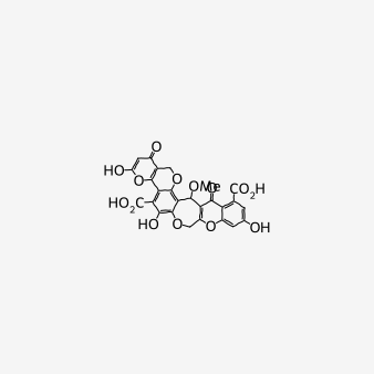 COC1c2c(c(O)c(C(=O)O)c3c2OCc2c-3oc(O)cc2=O)OCc2oc3cc(O)cc(C(=O)O)c3c(=O)c21